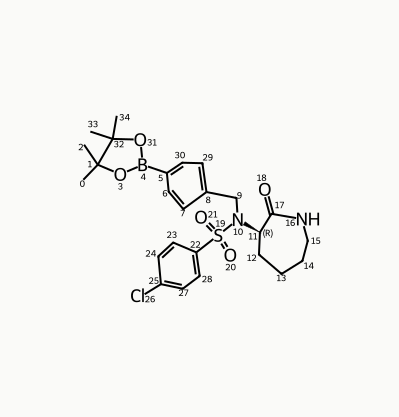 CC1(C)OB(c2ccc(CN([C@@H]3CCCCNC3=O)S(=O)(=O)c3ccc(Cl)cc3)cc2)OC1(C)C